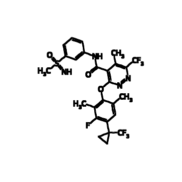 Cc1cc(C2(C(F)(F)F)CC2)c(F)c(C)c1Oc1nnc(C(F)(F)F)c(C)c1C(=O)Nc1cccc(S(C)(=N)=O)c1